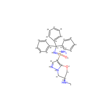 CN[C@@H]1COc2c(S(N)(=O)=NC(c3ccccc3)(c3ccccc3)c3ccccc3)cnn2C1